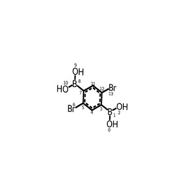 OB(O)c1cc(Br)c(B(O)O)cc1Br